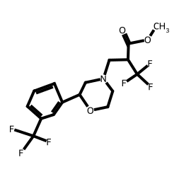 COC(=O)C(CN1CCOC(c2cccc(C(F)(F)F)c2)C1)C(F)(F)F